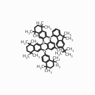 Cc1cc2c3c(c1)N(c1cccc4c1-c1ccc(C(C)(C)C)cc1C4(C)C)c1cc4c(cc1B3c1cc3c(cc1N2c1ccc2c(c1)C(C)(C)CCC2(C)C)C(C)(C)CCC3(C)C)C(C)(C)CCC4(C)C